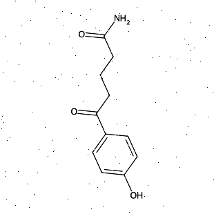 NC(=O)CCCC(=O)c1ccc(O)cc1